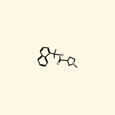 CN1CCC(C(=O)NC(C)(C)c2cccc3ccccc23)C1